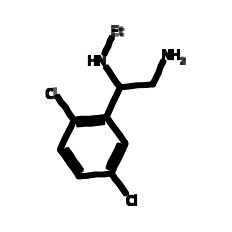 CCNC(CN)c1cc(Cl)ccc1Cl